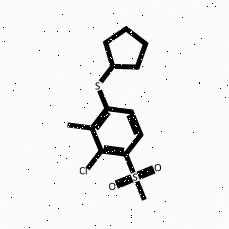 Cc1c(SC2CCCC2)ccc(S(C)(=O)=O)c1Cl